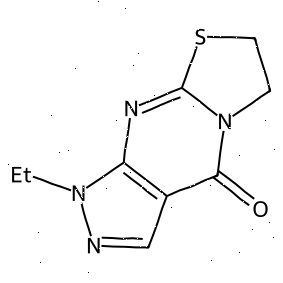 CCn1ncc2c(=O)n3c(nc21)SCC3